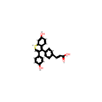 O=C(O)/C=C/c1ccc(C2=C3C=CC(O)=CC3SC=C2c2ccc(O)cc2)cc1